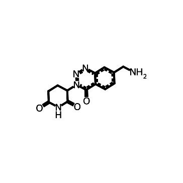 NCc1ccc2c(=O)n(C3CCC(=O)NC3=O)nnc2c1